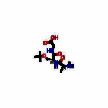 CN[C@@H](C)C(=O)N[C@@H](COC(C)(C)C)C(=O)NCC(=O)O